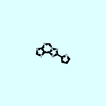 c1coc(-c2nc3c4scnc4ncn3n2)c1